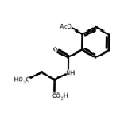 CC(=O)Oc1ccccc1C(=O)NC(CC(=O)O)C(=O)O